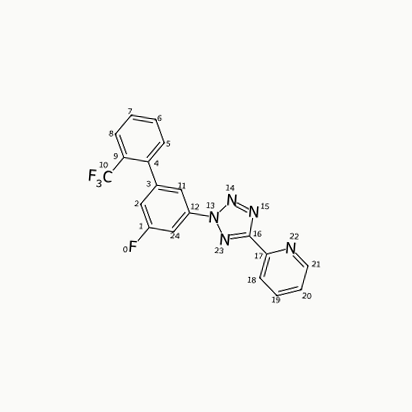 Fc1cc(-c2ccccc2C(F)(F)F)cc(-n2nnc(-c3ccccn3)n2)c1